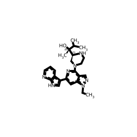 CCn1ncc2c(N3CCN[C@H]([C@](C)(O)C(C)C)C3)nc(-c3c[nH]c4ncccc34)cc21